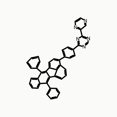 c1ccc(-c2c3c(c(-c4ccccc4)c4ccccc24)-c2ccc(-c4ccc(-c5ncnc(-c6cnccn6)n5)cc4)c4cccc-3c24)cc1